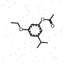 [CH2]C(C)c1cc(OCC)cc(OC(C)=O)c1